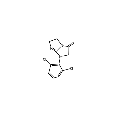 O=C1CN(c2c(Cl)cccc2Cl)C2=NCCN12